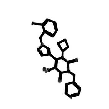 O=c1c([N+](=O)[O-])c(-c2cnn(Cc3ccccc3F)c2)n(C2CCC2)c(=O)n1Cc1ccncc1